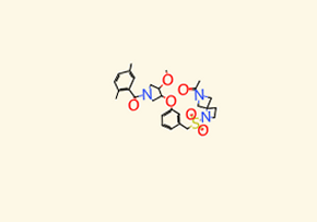 COC1CN(C(=O)c2cc(C)ccc2C)CC1Oc1cccc(CS(=O)(=O)N2CCC23CN(C(C)=O)C3)c1